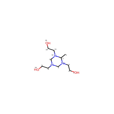 CC1N(CCO)CN(CCO)CN1CCO